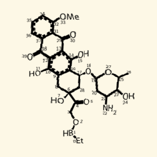 CCBOCC(=O)[C@]1(O)Cc2c(O)c3c(c(O)c2[C@@H](OC2CC(N)C(O)C(C)O2)C1)C(=O)c1c(OC)cccc1C3=O